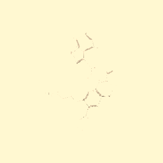 CCCOc1cc2c(cc1COC)CCN(C=O)[C@H]2CCc1c[nH]c2ccccc12